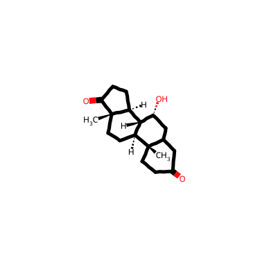 C[C@]12CCC(=O)CC1C[C@@H](O)[C@@H]1[C@@H]2CC[C@]2(C)C(=O)CC[C@@H]12